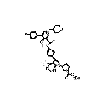 CC(C)(C)OC(=O)N1CCC(n2cc(-c3ccc(NC(=O)c4cn(CC5CCOCC5)cc(-c5ccc(F)cc5)c4=O)cc3)c3c(N)ncnc32)C1